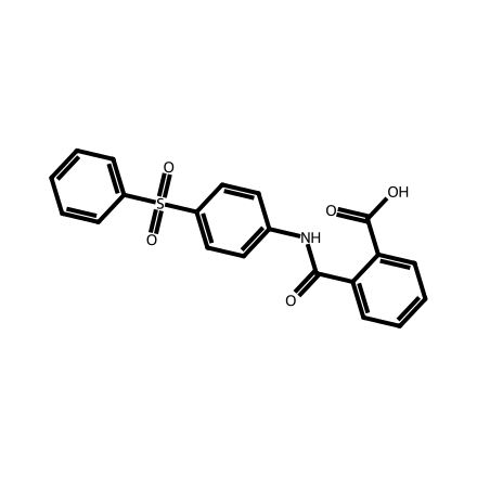 O=C(O)c1ccccc1C(=O)Nc1ccc(S(=O)(=O)c2ccccc2)cc1